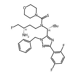 CC(C)(C)[C@H](c1nc(-c2cc(F)ccc2F)nn1Cc1ccccc1)N(CC[C@H](N)CF)C(=S)N1CCOCC1